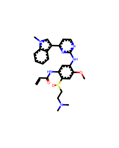 C=CC(=O)Nc1cc(Nc2nccc(-c3cn(C)c4ccccc34)n2)c(OC)cc1[S+]([O-])CCN(C)C